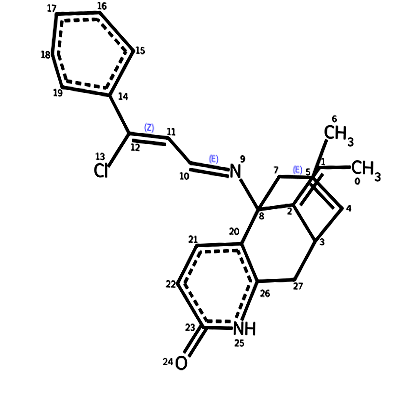 C/C=C1\C2C=C(C)CC1(/N=C/C=C(\Cl)c1ccccc1)c1ccc(=O)[nH]c1C2